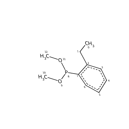 CCc1ccccc1P(OC)OC